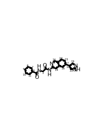 O=C(CNC(=O)c1ccccc1)Nc1cc2cc(-c3cn[nH]c3)ccc2cn1